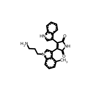 Cc1cccc2c1c(C1=C(c3c[nH]c4ccccc34)C(=O)NC1=O)cn2CCCN